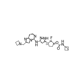 O=C(NC12CC(C1)C2)O[C@H]1CC[C@@H](c2cc(Nc3nccc4nc(CN5CCC5)cn34)n[nH]2)[C@@H]1F